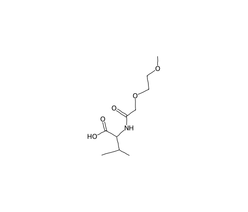 COCCOCC(=O)NC(C(=O)O)C(C)C